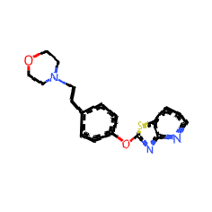 c1cnc2nc(Oc3ccc(CCN4CCOCC4)cc3)sc2c1